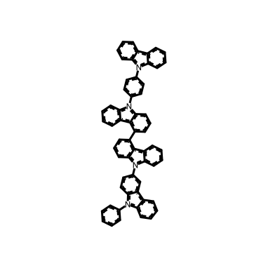 c1ccc(-n2c3ccccc3c3cc(-n4c5ccccc5c5c(-c6cccc7c6c6ccccc6n7-c6ccc(-n7c8ccccc8c8ccccc87)cc6)cccc54)ccc32)cc1